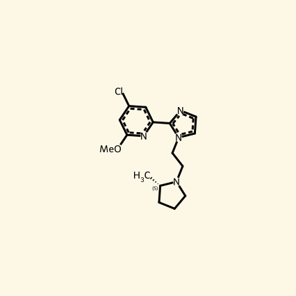 COc1cc(Cl)cc(-c2nccn2CCN2CCC[C@@H]2C)n1